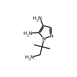 CC(C)(CN)n1ncc(N)c1N